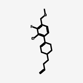 C=CCCC1CC=C(c2ccc(COC)c(F)c2Cl)CC1